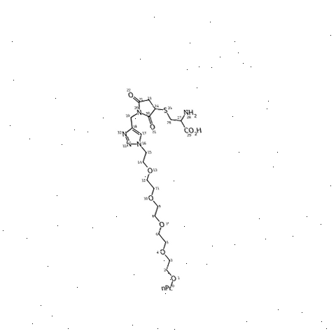 CCCOCCOCCOCCOCCOCCn1cc(CN2C(=O)CC(SCC(N)C(=O)O)C2=O)nn1